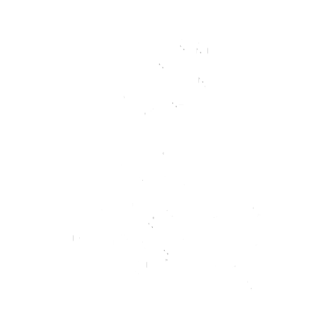 CCC[C@H](c1ccc(C(=O)Nc2nn[nH]n2)cc1)N1C(=O)C(c2cc(Cl)cc(Cl)c2)=NC1(C)C